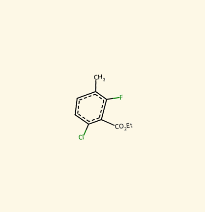 CCOC(=O)c1c(Cl)ccc(C)c1F